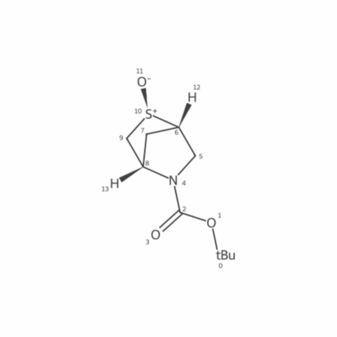 CC(C)(C)OC(=O)N1C[C@@H]2C[C@H]1C[S@@+]2[O-]